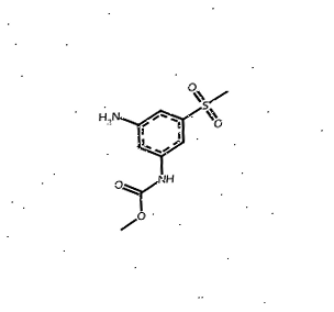 COC(=O)Nc1cc(N)cc(S(C)(=O)=O)c1